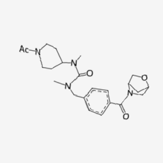 CC(=O)N1CCC(N(C)C(=O)N(C)Cc2ccc(C(=O)N3CC4CC3CO4)cc2)CC1